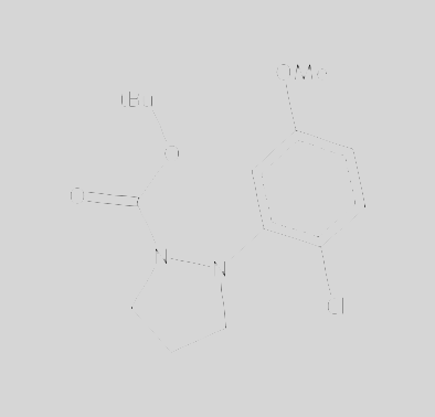 COc1ccc(Cl)c(N2CCCN2C(=O)OC(C)(C)C)c1